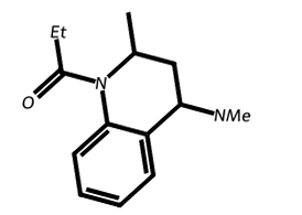 CCC(=O)N1c2ccccc2C(NC)CC1C